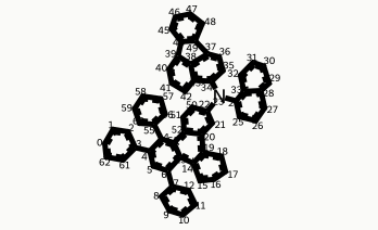 c1ccc(-c2cc(-c3ccccc3)c3c4ccccc4c4cc(N(c5cccc6ccccc56)c5ccc6c7c(cccc57)-c5ccccc5-6)ccc4c3c2-c2ccccc2)cc1